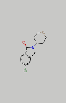 O=C1c2ccc(Br)cc2CN1C1CCSCC1